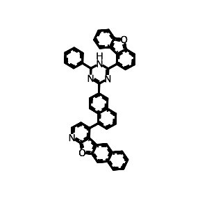 c1ccc(C2N=C(c3ccc4c(-c5ccnc6oc7cc8ccccc8cc7c56)cccc4c3)N=C(c3cccc4oc5ccccc5c34)N2)cc1